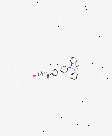 CC1(C)c2ccccc2N(c2ccc(-c3ccc(BOC(C)(C)C(C)(C)O)cc3)cc2)C1c1ccccc1